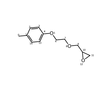 Cc1ccc(OCCOCC2CO2)cc1